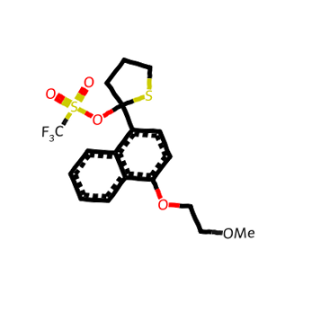 COCCOc1ccc(C2(OS(=O)(=O)C(F)(F)F)CCCS2)c2ccccc12